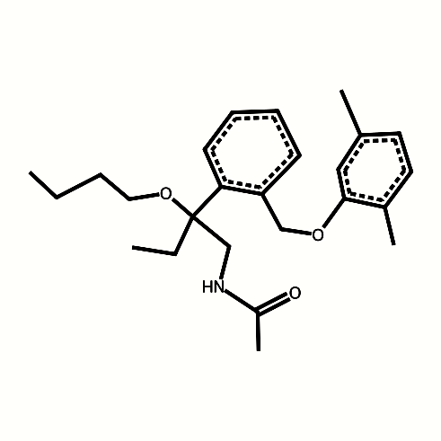 CCCCOC(CC)(CNC(C)=O)c1ccccc1COc1cc(C)ccc1C